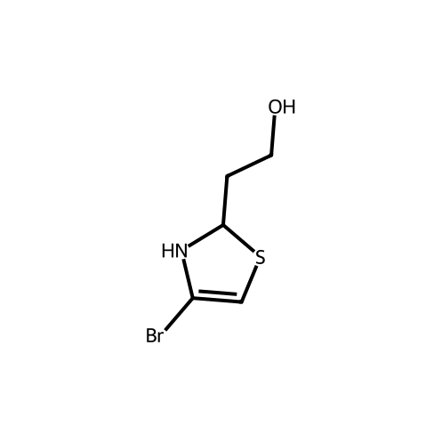 OCCC1NC(Br)=CS1